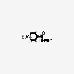 CCN1CCC(C(=O)NC(C)C)CC1